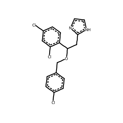 Clc1ccc(COC(Cc2ncc[nH]2)c2ccc(Cl)cc2Cl)cc1